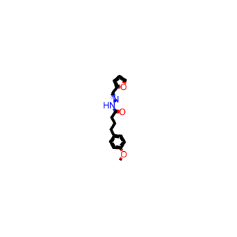 COc1ccc(CCCC(=O)N/N=C/c2ccco2)cc1